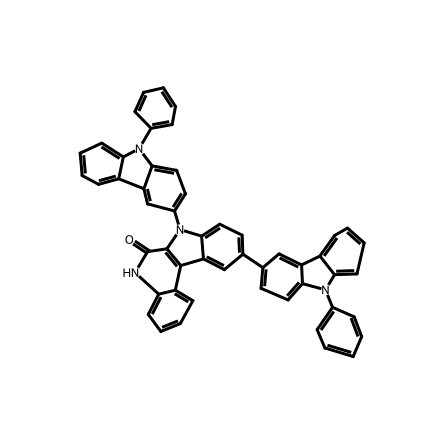 O=c1[nH]c2ccccc2c2c3cc(-c4ccc5c(c4)c4ccccc4n5-c4ccccc4)ccc3n(-c3ccc4c(c3)c3ccccc3n4-c3ccccc3)c12